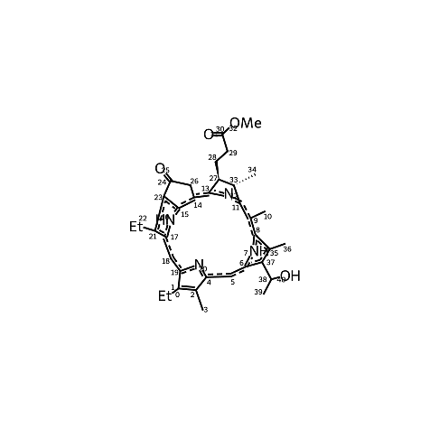 CCC1=C(C)c2cc3[nH]c(c(C)c4nc(c5c6[nH]c(cc1n2)c(CC)c6C(=O)C5)[C@@H](CCC(=O)OC)[C@@H]4C)c(C)c3C(C)O